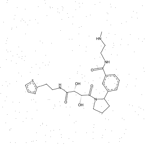 CNCCNC(=O)c1cccc(C2CCCN2C(=O)[C@H](O)[C@@H](O)C(=O)NCCc2cccs2)c1